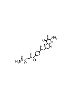 NNC(=O)CCNC(=O)c1ccc(NCc2cnc3nc(N)[nH]c(=O)c3n2)cc1